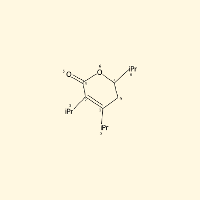 CC(C)C1=C(C(C)C)C(=O)OC(C(C)C)C1